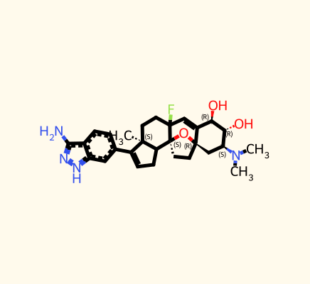 CN(C)[C@H]1C[C@@]23CC[C@]4(O2)C2CC=C(c5ccc6c(N)n[nH]c6c5)[C@@]2(C)CCC4(F)C=C3[C@@H](O)[C@@H]1O